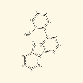 O=Cc1ccccc1-c1cccc2c1oc1cccnc12